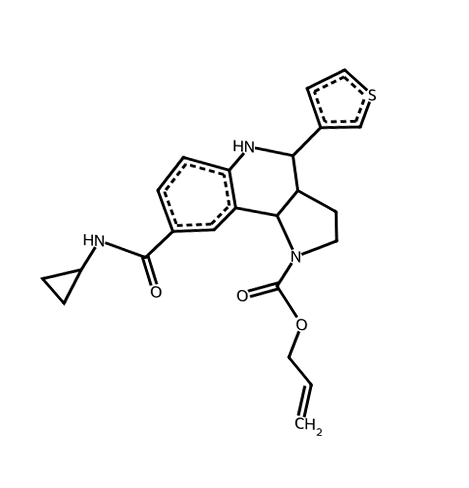 C=CCOC(=O)N1CCC2C(c3ccsc3)Nc3ccc(C(=O)NC4CC4)cc3C21